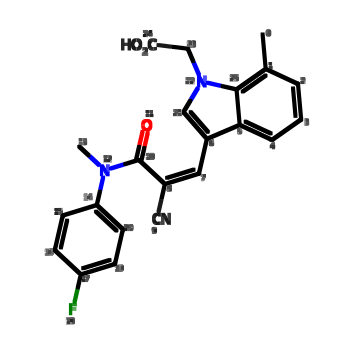 Cc1cccc2c(C=C(C#N)C(=O)N(C)c3ccc(F)cc3)cn(CC(=O)O)c12